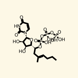 CCCC=C(C)CC(OP(=O)(O)OP(=O)(O)OP(=O)(O)O)[C@H]1O[C@@H](n2ccc(=O)[nH]c2=O)[C@H](O)[C@@H]1O